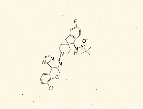 Cc1nc(N2CCC3(CC2)Cc2cc(F)ccc2[C@H]3N[S@+]([O-])C(C)(C)C)n2ccnc2c1-c1cccc(Cl)c1Cl